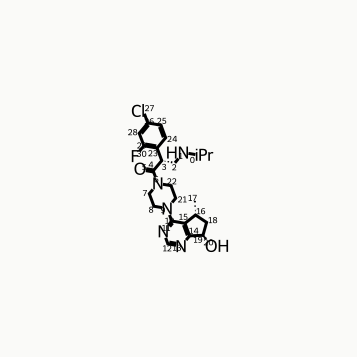 CC(C)NC[C@H](C(=O)N1CCN(c2ncnc3c2[C@H](C)C[C@H]3O)CC1)c1ccc(Cl)cc1F